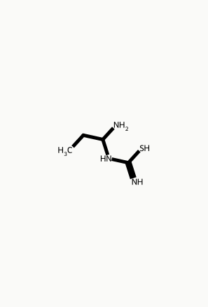 CCC(N)NC(=N)S